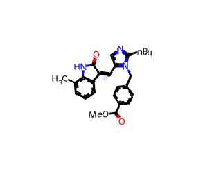 CCCCc1ncc(/C=C2\C(=O)Nc3c(C)cccc32)n1Cc1ccc(C(=O)OC)cc1